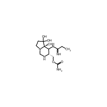 CCC(=N)NC1[C@H](COC(N)=O)NCN2CCC(O)(O)[C@]12C